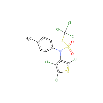 Cc1ccc(N(c2c(Cl)sc(Cl)c2Cl)S(=O)(=O)SC(Cl)(Cl)Cl)cc1